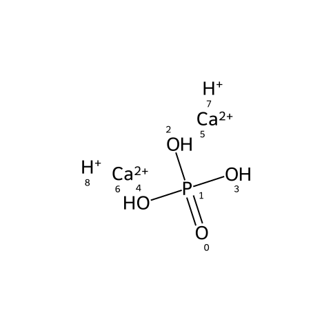 O=P(O)(O)O.[Ca+2].[Ca+2].[H+].[H+]